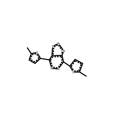 Cc1ccc(-c2nnc(-c3ccc(C)s3)c3snnc23)s1